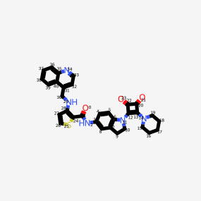 O=C(Nc1ccc2c(c1)CCN2c1c(N2CCCCC2)c(=O)c1=O)c1sccc1NCc1ccnc2ccccc12